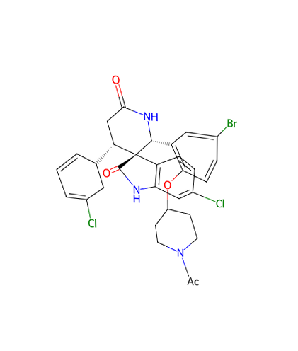 CC(=O)N1CCC(Oc2ccc(Br)cc2[C@H]2NC(=O)C[C@@H](C3C=CC=C(Cl)C3)[C@]23C(=O)Nc2cc(Cl)ccc23)CC1